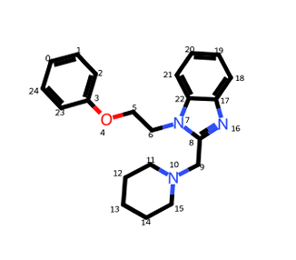 c1ccc(OCCn2c(CN3CCCCC3)nc3ccccc32)cc1